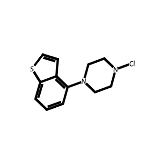 ClN1CCN(c2cccc3sccc23)CC1